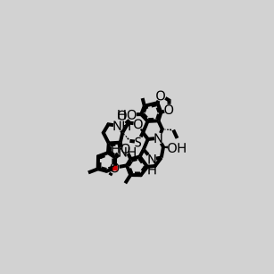 CC[C@H]1c2c3c(c(C)c(O)c2[C@]2(OC(=O)[C@]4(CS2)NCCc2c4[nH]c4ccc(C)cc24)C2C4NC(Cc5cc(C)c(OC)c(O)c54)[C@H](O)N21)OCO3